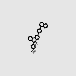 C[Si](C)(C)c1ccc2c(c1)sc1c3ccc(-c4ccc(-c5cccc6ccccc56)cc4)cc3c3ccccc3c21